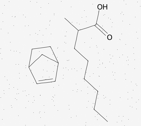 C1=CC2CCC1C2.CCCCCCC(C)C(=O)O